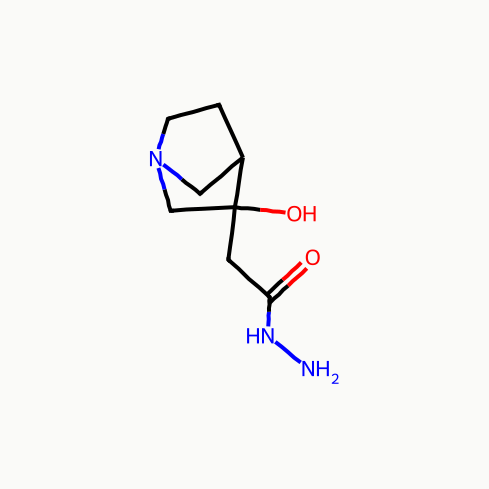 NNC(=O)CC1(O)CN2CCC1C2